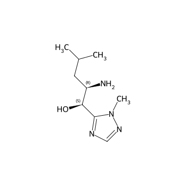 CC(C)C[C@@H](N)[C@H](O)c1ncnn1C